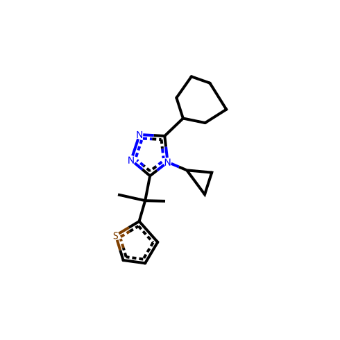 CC(C)(c1cccs1)c1nnc(C2CCCCC2)n1C1CC1